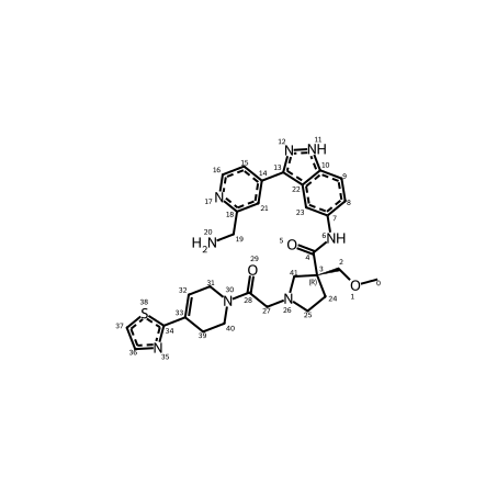 COC[C@@]1(C(=O)Nc2ccc3[nH]nc(-c4ccnc(CN)c4)c3c2)CCN(CC(=O)N2CC=C(c3nccs3)CC2)C1